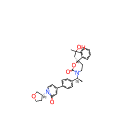 C[C@@H](c1ccc(-c2ccn([C@@H]3CCOC3)c(=O)c2)cc1)N1CC[C@](CC(C)(C)O)(c2ccccc2)OC1=O